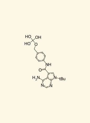 CC(C)(C)n1cc(C(=O)Nc2ccc(COC(O)(O)O)cc2)c2c(N)ncnc21